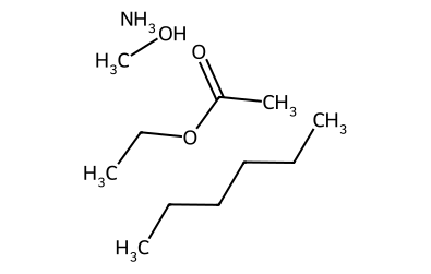 CCCCCC.CCOC(C)=O.CO.N